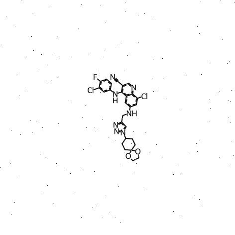 N#Cc1cnc2c(Cl)cc(NCc3cn(C4CCC5(CC4)OCCO5)nn3)cc2c1Nc1ccc(F)c(Cl)c1